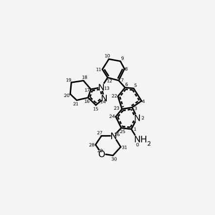 Nc1nc2ccc(C3=CCCC=C3n3ncc4c3CCCC4)cc2cc1N1CCOCC1